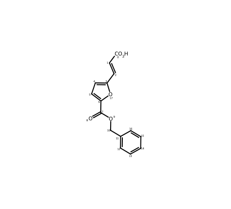 O=C(O)/C=C/c1ccc(C(=O)OCc2ccccc2)o1